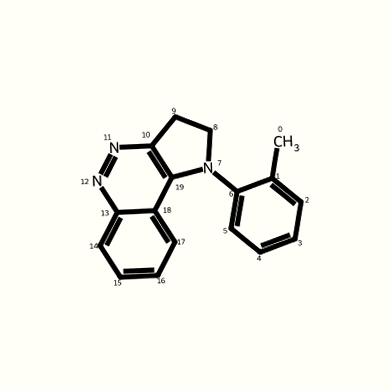 Cc1ccccc1N1CCc2nnc3ccccc3c21